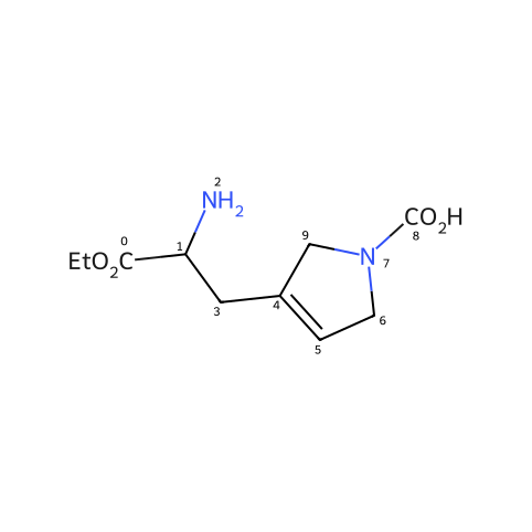 CCOC(=O)C(N)CC1=CCN(C(=O)O)C1